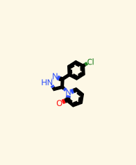 O=c1ccccn1C1CNN=C1c1ccc(Cl)cc1